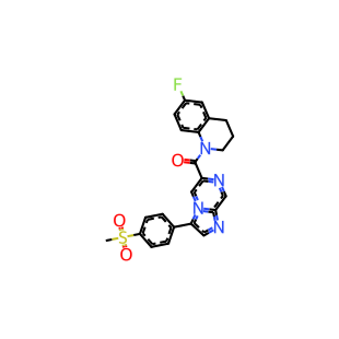 CS(=O)(=O)c1ccc(-c2cnc3cnc(C(=O)N4CCCc5cc(F)ccc54)cn23)cc1